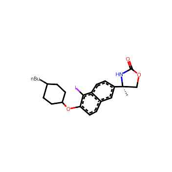 CCCCC1CCC(Oc2ccc3cc([C@]4(C)COC(=O)N4)ccc3c2I)CC1